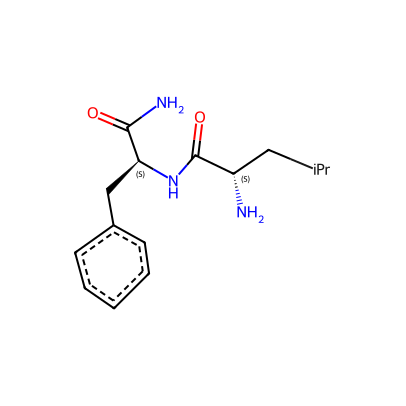 CC(C)C[C@H](N)C(=O)N[C@@H](Cc1ccccc1)C(N)=O